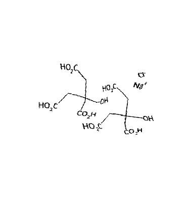 O=C(O)CC(O)(CC(=O)O)C(=O)O.O=C(O)CC(O)(CC(=O)O)C(=O)O.[Cl-].[Na+]